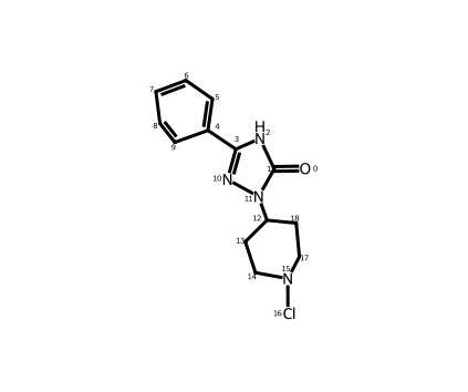 O=c1[nH]c(-c2ccccc2)nn1C1CCN(Cl)CC1